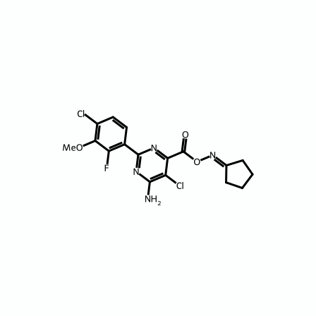 COc1c(Cl)ccc(-c2nc(N)c(Cl)c(C(=O)ON=C3CCCC3)n2)c1F